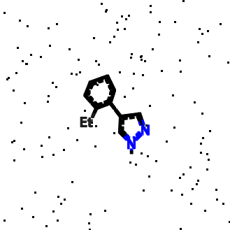 CCc1ccccc1-c1cnn(C)c1